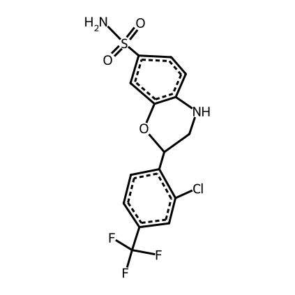 NS(=O)(=O)c1ccc2c(c1)OC(c1ccc(C(F)(F)F)cc1Cl)CN2